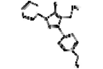 CC(C)Cc1ccc(-c2nn(-c3ccccc3)c(Cl)c2CC(=O)O)cc1